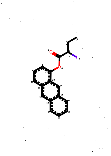 CCC(I)C(=O)Oc1cccc2cc3ccccc3cc12